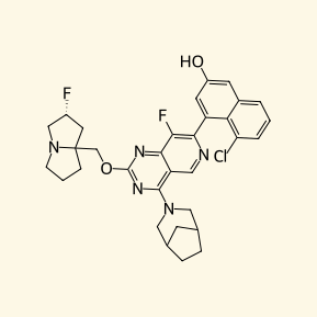 Oc1cc(-c2ncc3c(N4CC5CCC(C5)C4)nc(OCC45CCCN4C[C@H](F)C5)nc3c2F)c2c(Cl)cccc2c1